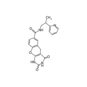 CC(CNC(=O)c1ccc2c(c1)Cc1c([nH]c(=O)[nH]c1=O)O2)c1ccccn1